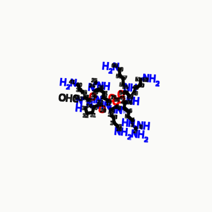 N=C(N)NCC/C=C(\NC(=O)[C@H](CCCCN)NC(=O)C(Cc1cnc[nH]1)NC(=O)C1CCCN1C(=O)[C@@H](CCCN)NC=O)C(=O)N[C@@H](CCCCN)C(=O)NCCCCN